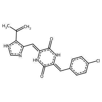 C=C(C)c1[nH]cnc1/C=c1\[nH]c(=O)/c(=C/c2ccc(Cl)cc2)[nH]c1=O